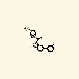 CN1CC2CC1CN2C(=O)c1n[nH]c2ccc(-c3cccc(F)c3)cc12